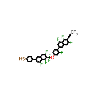 Fc1cc(OC(F)(F)c2c(F)cc3cc(-c4ccc(S)cc4)cc(F)c3c2F)ccc1-c1cc(F)c2c(F)c(C#CC(F)(F)F)c(F)cc2c1